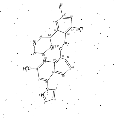 Cc1cc(-n2cccn2)c2cccc(OCc3c(Cl)cc(F)cc3C3COCCN3)c2n1